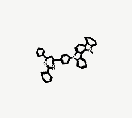 Cn1c2ccccc2c2ccc3c(c4ccccc4n3-c3ccc(-c4cc(-c5ccccc5)nc(-c5ccccc5)n4)cc3)c21